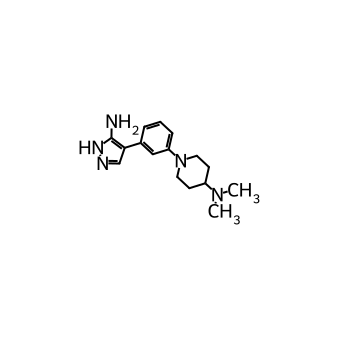 CN(C)C1CCN(c2cccc(-c3cn[nH]c3N)c2)CC1